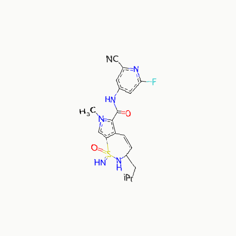 CC(C)CC1C=Cc2c(cn(C)c2C(=O)Nc2cc(F)nc(C#N)c2)S(=N)(=O)N1